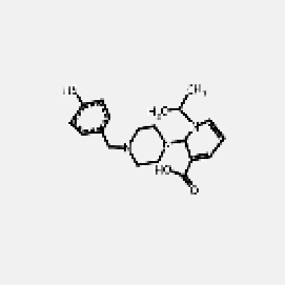 CC(C)N1C=CC=C(C(=O)O)C1N1CCN(Cc2ccc(S)cc2)CC1